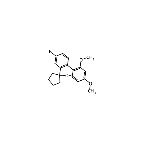 COc1ccc(-c2ccc(F)cc2C2(O)CCCC2)c(OC)c1